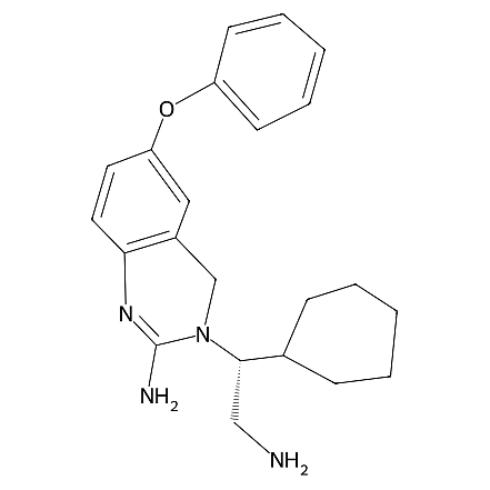 NC[C@@H](C1CCCCC1)N1Cc2cc(Oc3ccccc3)ccc2N=C1N